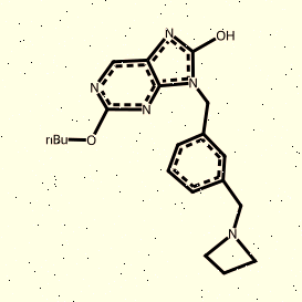 CCCCOc1ncc2nc(O)n(Cc3cccc(CN4CCC4)c3)c2n1